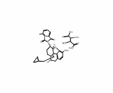 Cc1cccc2c1C(=O)N([C@@H]1CC[C@@]3(O)[C@H]4Cc5ccc(O)c6c5[C@@]3(CCN4CC3CC3)[C@H]1O6)C2=O.O=C(O)C(O)C(O)C(=O)O